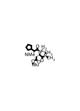 CN[C@H](C(=O)N(C)[C@@H](CC(=O)OC(C)(C)C)C(=O)N(C)C)C1CCCC1